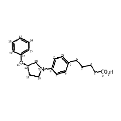 O=C(O)CCCCc1ccc(N2CC[C@@H](Oc3ccccc3)C2)cc1